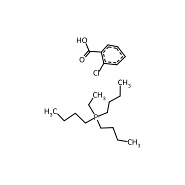 CCCC[P](CC)(CCCC)CCCC.O=C(O)c1ccccc1Cl